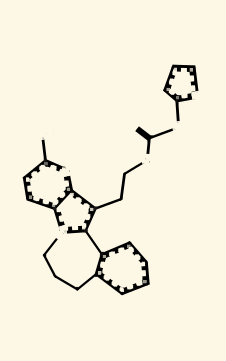 O=C(NCCc1c2n(c3ccc(O)nc13)CCCc1ccccc1-2)Oc1ccco1